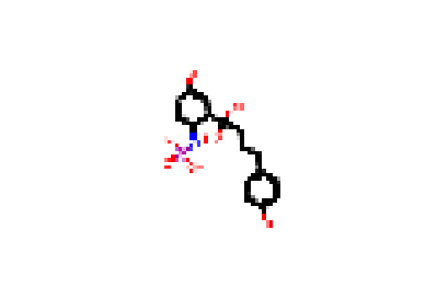 O=P(O)(O)/N=C1\C=CC(O)=CC1C(O)(O)CCCc1ccc(O)cc1